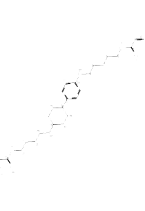 C=CC(=O)OCCCCCOc1ccc(C2CCC(CCCCCOC(=O)C=C)CC2)cc1